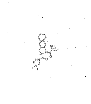 CC[C@H](N)C(=O)N1c2cc3ccccc3cc2C[C@H]1C(=O)NCC(F)(F)F